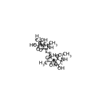 CC(C)N[C@@H](CC(=O)O)C(=O)N[C@@H](CSSC[C@H](NC(C)C)C(=O)N[C@H](C(=O)O)[C@@H](C)O)C(=O)C(C)C